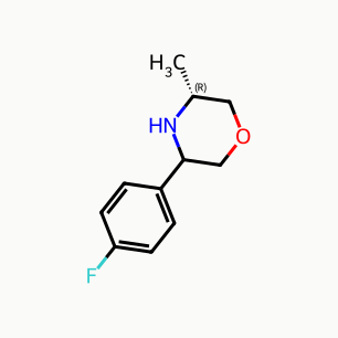 C[C@@H]1COCC(c2ccc(F)cc2)N1